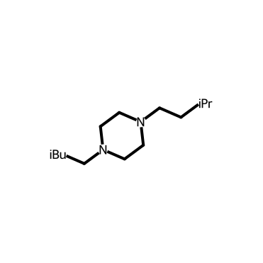 CCC(C)CN1CCN(CCC(C)C)CC1